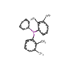 CCCc1cccc(P(c2ccccc2)c2cccc(C)c2C)c1CCC